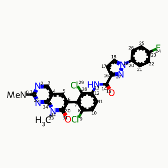 CNc1ncc2cc(-c3c(Cl)ccc(NC(=O)c4ccn(-c5ccc(F)cc5)n4)c3Cl)c(=O)n(C)c2n1